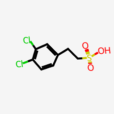 O=S(=O)(O)CCc1ccc(Cl)c(Cl)c1